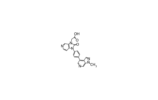 Cn1ncc2c(-c3ccc(-n4c(=O)n(CC(=O)O)c5cnccc54)cc3)cncc21